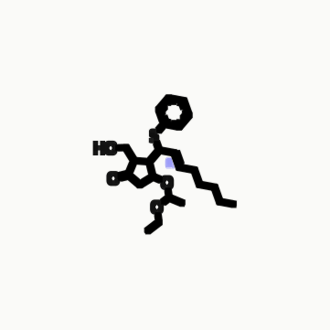 CCCCC/C=C/C(Sc1ccccc1)C1C(OC(C)OCC)CC(=O)C1CO